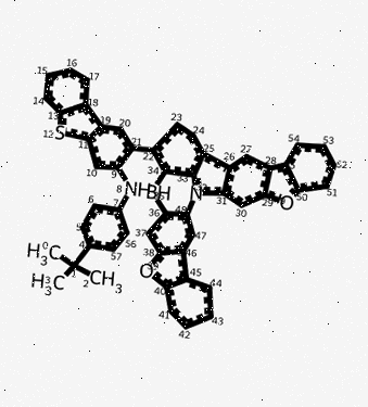 CC(C)(C)c1ccc(Nc2cc3sc4ccccc4c3cc2-c2ccc3c4cc5c(cc4n4c3c2Bc2cc3oc6ccccc6c3cc2-4)oc2ccccc25)cc1